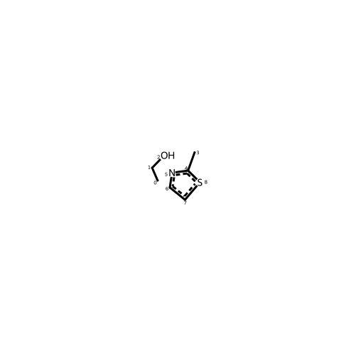 CCO.Cc1nccs1